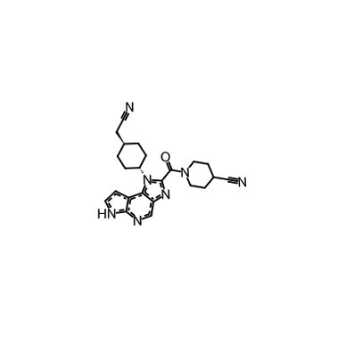 N#CC[C@H]1CC[C@H](n2c(C(=O)N3CCC(C#N)CC3)nc3cnc4[nH]ccc4c32)CC1